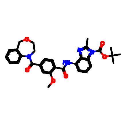 COc1cc(C(=O)N2CCOCc3ccccc32)ccc1C(=O)Nc1cccc2c1nc(C)n2C(=O)OC(C)(C)C